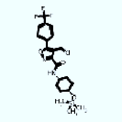 C[Si](C)(C)O[C@H]1CC[C@H](NC(=O)c2noc(-c3ccc(C(F)(F)F)cc3)c2CCl)CC1